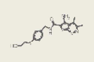 Cc1nnc2sc(C(=O)NCc3ccc(SCCO)cc3)c(N)c2c1C